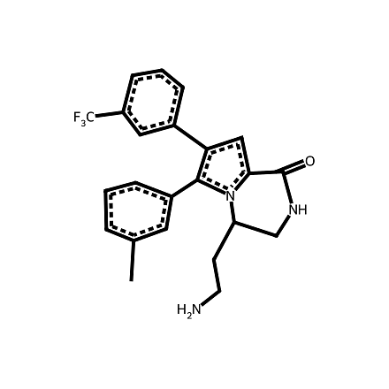 Cc1cccc(-c2c(-c3cccc(C(F)(F)F)c3)cc3n2C(CCN)CNC3=O)c1